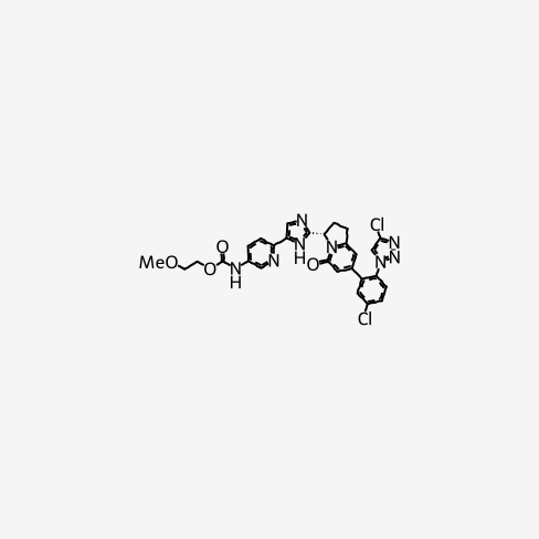 COCCOC(=O)Nc1ccc(-c2cnc([C@@H]3CCc4cc(-c5cc(Cl)ccc5-n5cc(Cl)nn5)cc(=O)n43)[nH]2)nc1